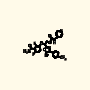 NC(=O)c1c(F)ccc(OC(COC(=O)Nc2ccncc2)c2nc(-c3ccc(C(F)(F)F)cc3)c(Br)o2)c1F